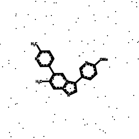 COc1ccc(-c2cnc3cc(C)c(-c4ccc(C)nc4)cn23)cn1